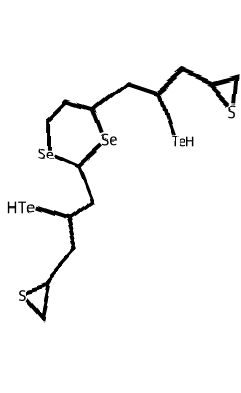 [TeH]C(CC1CS1)CC1CC[Se]C(CC([TeH])CC2CS2)[Se]1